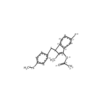 CSc1ccc(CC2C(C)=C(OC(C)=O)c3cc(F)ccc32)cc1